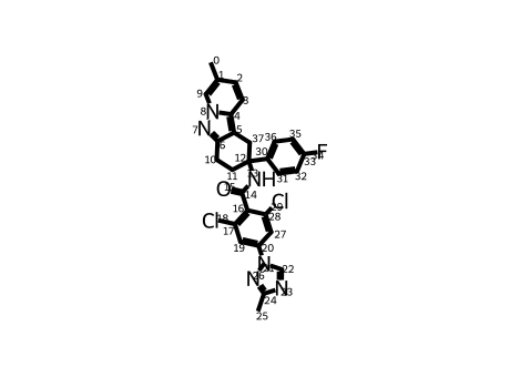 Cc1ccc2c3c(nn2c1)CCC(NC(=O)c1c(Cl)cc(-n2cnc(C)n2)cc1Cl)(c1ccc(F)cc1)C3